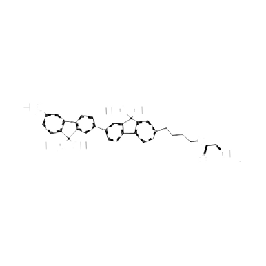 C=CC(=O)OCCCCc1ccc2c(c1)C(C)(C)c1cc(-c3ccc4c(c3)C(C)(C)c3ccc(C)cc3-4)ccc1-2